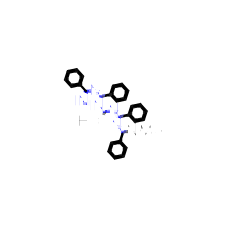 CN/C(=N\C(=N/C(C)N/C(=N\C(=N)c1ccccc1)c1ccccc1)c1ccccc1)c1ccccc1